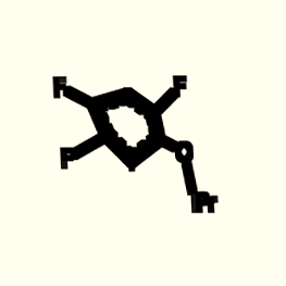 CC(C)Oc1[c]c(F)c(F)cc1F